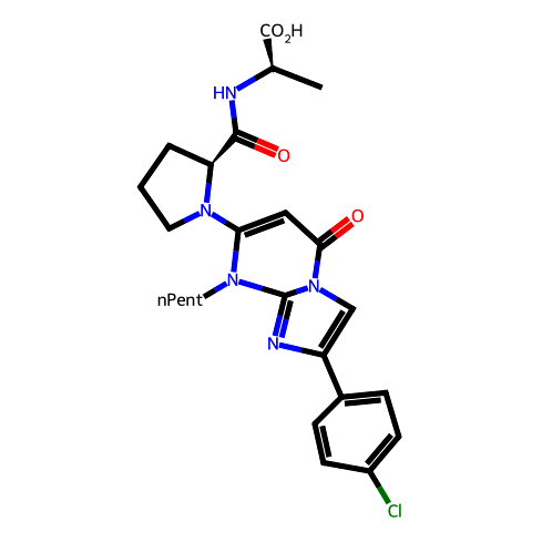 CCCCCn1c(N2CCC[C@H]2C(=O)N[C@H](C)C(=O)O)cc(=O)n2cc(-c3ccc(Cl)cc3)nc12